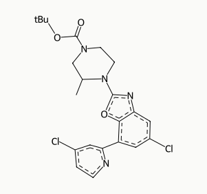 CC1CN(C(=O)OC(C)(C)C)CCN1c1nc2cc(Cl)cc(-c3cc(Cl)ccn3)c2o1